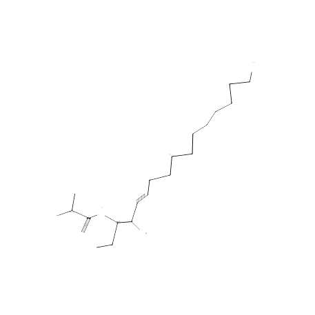 CCCCCCCCCCC/C=C/C(O)C(CC)OC(=O)C(Cl)Cl